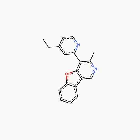 CCc1ccnc(-c2c(C)ncc3c2oc2ccccc23)c1